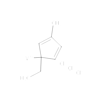 CC[C]1([V+3])C=CC(C)=C1.[Cl-].[Cl-].[Cl-]